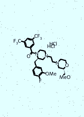 COC[C@@H]1CN(CCN2CCN(C(=O)c3cc(C(F)(F)F)cc(C(F)(F)F)c3)[C@H](Cc3ccc(F)c(OC)c3)C2)CCO1.Cl.Cl